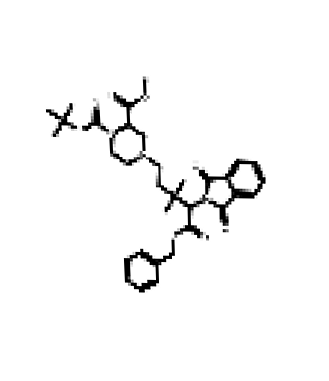 COC(=O)[C@H]1CN(CCC(C)(C)C(C(=O)OCc2ccccc2)N2C(=O)c3ccccc3C2=O)CCN1C(=O)OC(C)(C)C